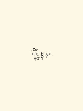 [Al+3].[Co].[OH-].[OH-].[OH-]